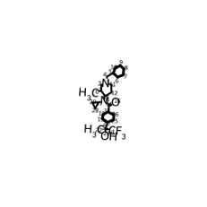 CC1CN(Cc2ccccc2)CCC1N(C(=O)c1ccc(C(C)(O)C(F)(F)F)cc1)C1CC1